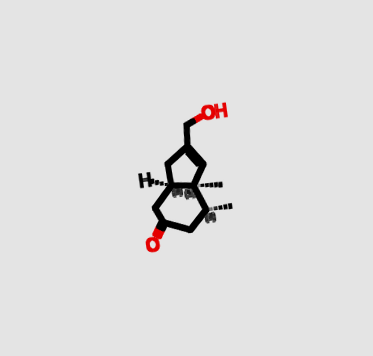 C[C@@H]1CC(=O)C[C@H]2CC(CO)=C[C@]21C